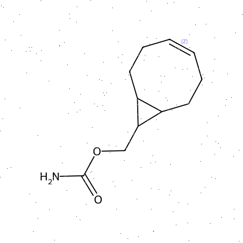 NC(=O)OCC1C2CC/C=C\CCC21